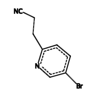 N#CCCc1ccc(Br)cn1